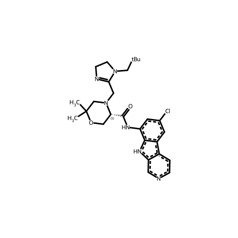 CC(C)(C)CN1CCN=C1CN1CC(C)(C)OC[C@H]1C(=O)Nc1cc(Cl)cc2c1[nH]c1cnccc12